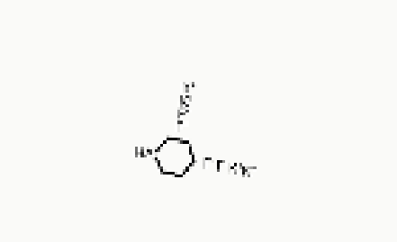 C1C[CH2][AlH][CH2]C1.[F-].[F-].[F-].[F-].[K+].[K+].[K+].[K+]